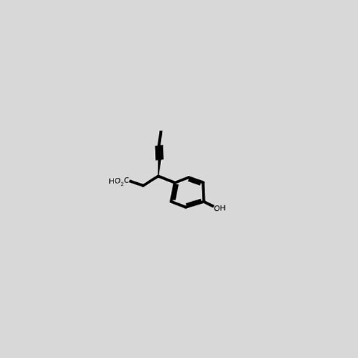 CC#C[C@H](CC(=O)O)c1ccc(O)cc1